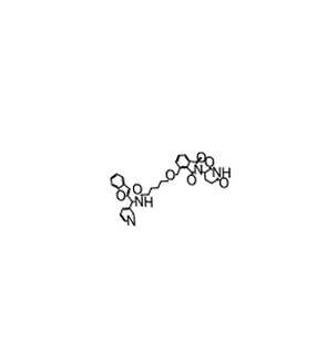 O=C1CCC(N2C(=O)c3cccc(COCCCCCC(=O)NC(c4cccnc4)c4cc5ccccc5o4)c3C2=O)C(=O)N1